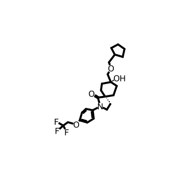 O=C1N(c2ccc(OCC(F)(F)F)cc2)CC[C@]12CC[C@](O)(COCC1CCCC1)CC2